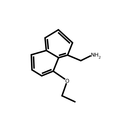 CCOc1cccc2cccc(CN)c12